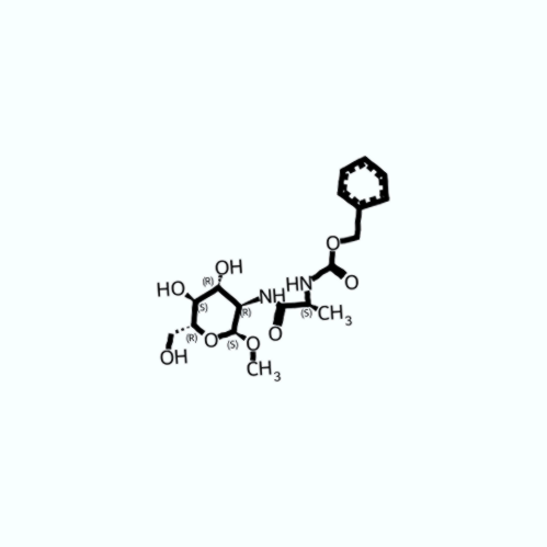 CO[C@H]1O[C@H](CO)[C@@H](O)[C@H](O)[C@H]1NC(=O)[C@H](C)NC(=O)OCc1ccccc1